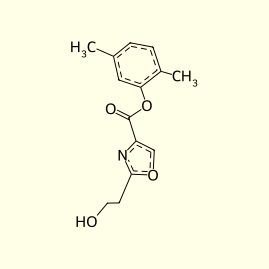 Cc1ccc(C)c(OC(=O)c2coc(CCO)n2)c1